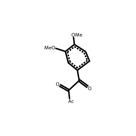 COc1ccc(C(=O)C(=O)C(C)=O)cc1OC